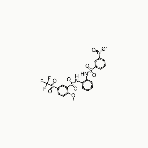 COc1ccc(S(=O)(=O)C(F)(F)F)cc1S(=O)(=O)Nc1ccccc1NS(=O)(=O)c1cccc([N+](=O)[O-])c1